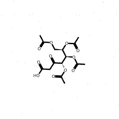 CC(=O)OC[C@@H](OC(C)=O)[C@@H](OC(C)=O)[C@H](OC(C)=O)C(=O)CC(=O)O